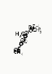 C=C(C)C(=O)OCCOc1ccc(C(=O)Oc2ccc(C=CC(=O)OC)cc2)cc1C